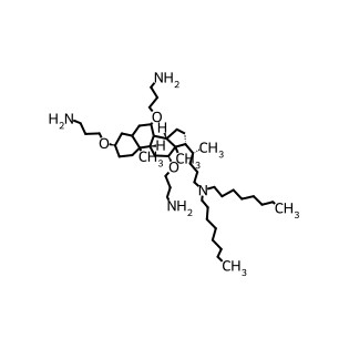 CCCCCCCCN(CCCCCCCC)CCC[C@@H](C)[C@H]1CC[C@H]2C3[C@H](OCCCN)CC4C[C@H](OCCCN)CCC4(C)[C@H]3C[C@H](OCCCN)C12C